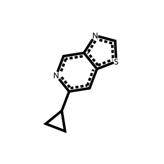 c1nc2cnc(C3CC3)cc2s1